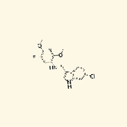 COc1nc(OC)c(NSc2c[nH]c3cc(Cl)ccc23)cc1F